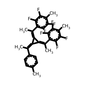 CC(=C1C(=C(\C)c2c(F)c(F)c(C)c(F)c2F)/C1=C(/C)c1c(F)c(F)c(C)c(F)c1F)c1ccc(C)cc1